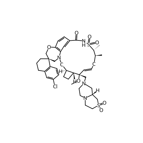 CO[C@@]1(CN2CCN3CCS(=O)(=O)C[C@H]3C2)/C=C/C[C@H](C)[C@@H](C)S(=O)(=O)NC(=O)c2ccc3c(c2)N(C[C@@H]2CC[C@H]21)C[C@@]1(CCCc2cc(Cl)ccc21)CO3